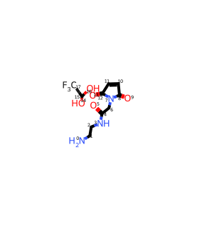 NCCNC(=O)CN1C(=O)C=CC1=O.OC(O)C(F)(F)F